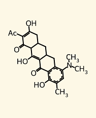 CC(=O)C1=C(O)CC2CC3Cc4c(N(C)C)cc(C)c(O)c4C(=O)C3=C(O)C2C1=O